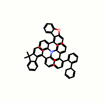 CC1(C)c2ccccc2-c2c(-c3ccccc3N(c3ccccc3-c3ccccc3-c3ccccc3C3C=CC=CC3)c3ccccc3-c3cccc4oc5ccccc5c34)cccc21